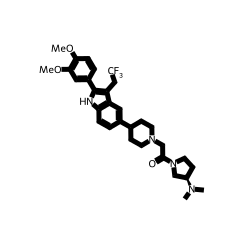 COc1ccc(-c2[nH]c3ccc(C4CCN(CC(=O)N5CC[C@@H](N(C)C)C5)CC4)cc3c2CC(F)(F)F)cc1OC